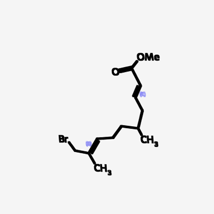 COC(=O)/C=C/CC(C)CC/C=C(\C)CBr